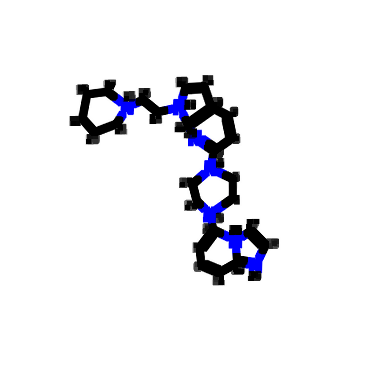 c1cc(N2CCN(c3ccc4ccn(CCN5CCCCC5)c4n3)CC2)n2ccnc2c1